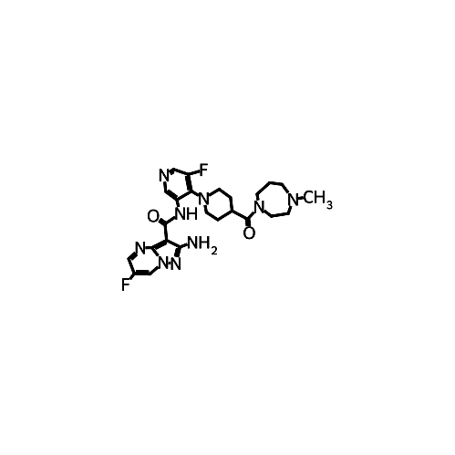 CN1CCCN(C(=O)C2CCN(c3c(F)cncc3NC(=O)c3c(N)nn4cc(F)cnc34)CC2)CC1